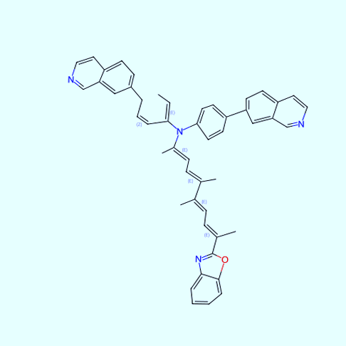 C/C=C(\C=C/Cc1ccc2ccncc2c1)N(/C(C)=C/C=C(C)/C(C)=C/C=C(\C)c1nc2ccccc2o1)c1ccc(-c2ccc3ccncc3c2)cc1